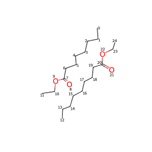 CCCCCCCC(=O)OCC.CCCCCCCCC(=O)OCC